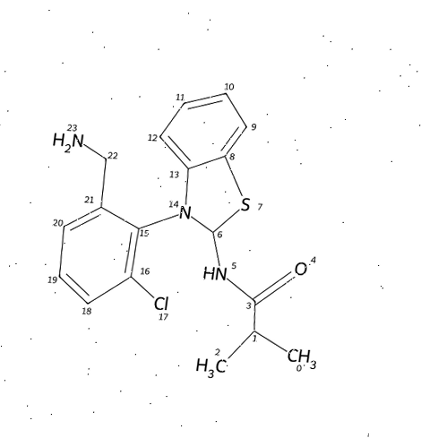 CC(C)C(=O)NC1Sc2ccccc2N1c1c(Cl)cccc1CN